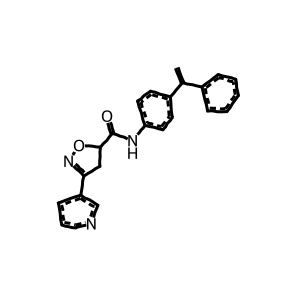 C=C(c1ccccc1)c1ccc(NC(=O)C2CC(c3cccnc3)=NO2)cc1